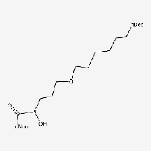 CCCCCCCCCCCCCCCCOCCCN(O)C(=O)CCCCCCCCC